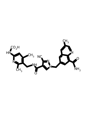 Cc1cnc2c(C(N)=O)cc(Cn3cc(C(=O)NCc4c(C)cc(NC(=O)O)nc4C)c(C#N)n3)cc2c1